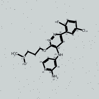 C[S+]([O-])CCCOc1nnc(-c2cc(Cl)ccc2F)cc1Nc1ccnc(N)c1